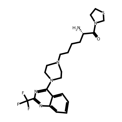 N[C@@H](CCCCN1CCN(c2nc(C(F)(F)F)nc3ccccc23)CC1)C(=O)N1CCSC1